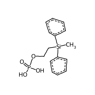 C[Si](CCOP(=O)(O)O)(c1ccccc1)c1ccccc1